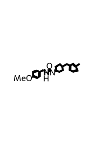 COc1ccc(CNC(=O)NC2CCC(Cc3cccc(C)c3)CC2)cc1